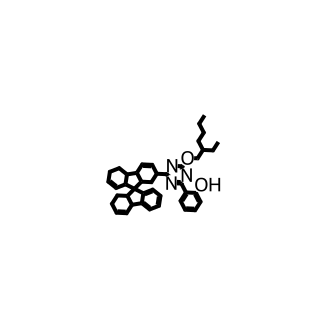 CCCCC(CC)COc1nc(-c2ccccc2O)nc(C2C=CC3C4CCC=CC4C4(c5ccccc5C5C=CCCC54)C3C2)n1